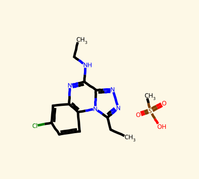 CCNc1nc2cc(Cl)ccc2n2c(CC)nnc12.CS(=O)(=O)O